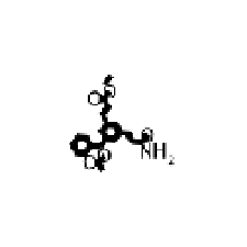 CCOC(=O)C=Cc1cc(C=CC(N)=O)cc(C(OC(C)=O)c2ccccc2)c1